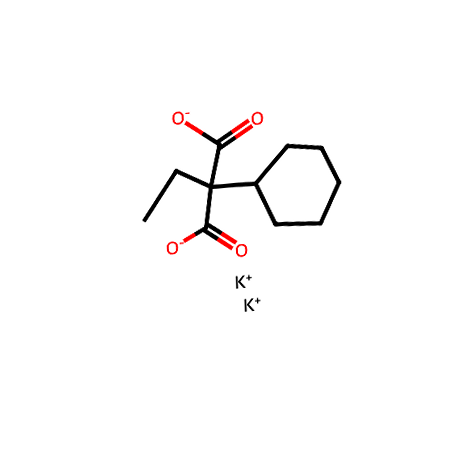 CCC(C(=O)[O-])(C(=O)[O-])C1CCCCC1.[K+].[K+]